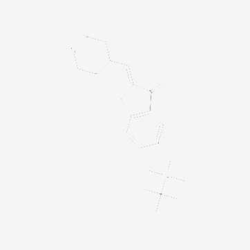 CC(C)(C)[Si](C)(C)Oc1ccc2c(c1)C(=O)/C(=C/C1CCNCC1)C2